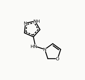 C1=CN(Nc2cn[nH]c2)CO1